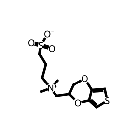 C[N+](C)(CCCS(=O)(=O)[O-])CC1COc2cscc2O1